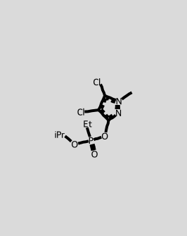 CCP(=O)(Oc1nn(C)c(Cl)c1Cl)OC(C)C